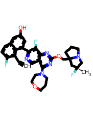 C#Cc1c(F)ccc2cc(O)cc(-c3ncc4c(N5CCCOCC5)nc(OCC56CCCN5C[C@@](C)(F)C6)nc4c3F)c12